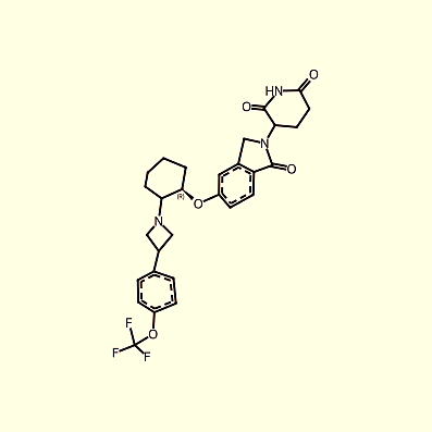 O=C1CCC(N2Cc3cc(O[C@@H]4CCCCC4N4CC(c5ccc(OC(F)(F)F)cc5)C4)ccc3C2=O)C(=O)N1